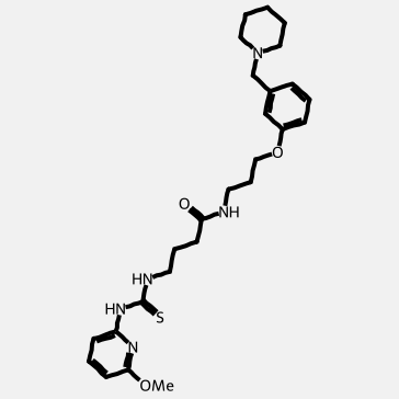 COc1cccc(NC(=S)NCCCC(=O)NCCCOc2cccc(CN3CCCCC3)c2)n1